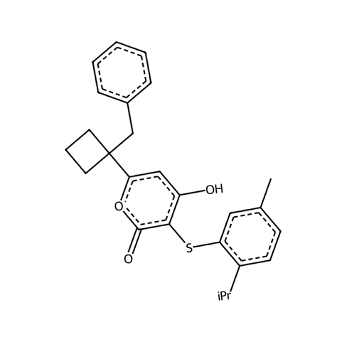 Cc1ccc(C(C)C)c(Sc2c(O)cc(C3(Cc4ccccc4)CCC3)oc2=O)c1